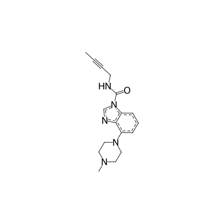 CC#CCNC(=O)n1cnc2c(N3CCN(C)CC3)cccc21